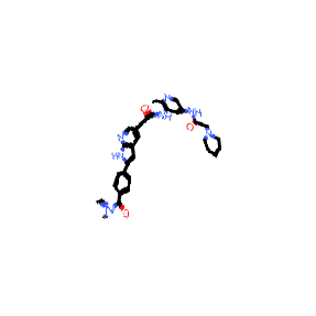 Cc1ncc(NC(=O)CN2CCCCC2)cc1NC(=O)c1cnc2[nH]c(-c3ccc(C(=O)N(C)C)cc3)cc2c1